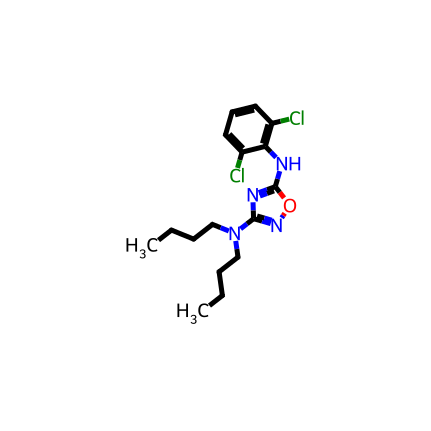 CCCCN(CCCC)c1noc(Nc2c(Cl)cccc2Cl)n1